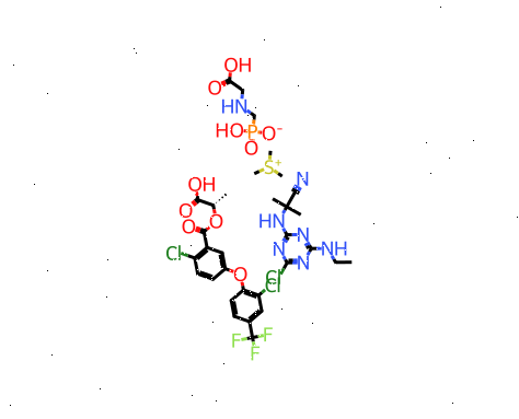 CCNc1nc(Cl)nc(NC(C)(C)C#N)n1.C[C@H](OC(=O)c1cc(Oc2ccc(C(F)(F)F)cc2Cl)ccc1Cl)C(=O)O.C[S+](C)C.O=C(O)CNCP(=O)([O-])O